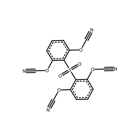 N#COc1cccc(OC#N)c1S(=O)(=O)c1c(OC#N)cccc1OC#N